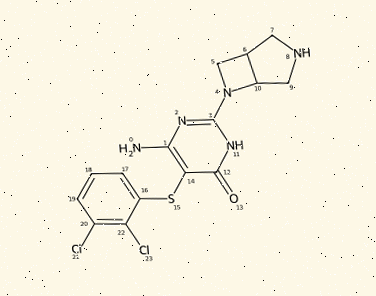 Nc1nc(N2CC3CNCC32)[nH]c(=O)c1Sc1cccc(Cl)c1Cl